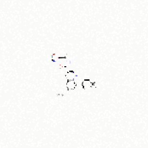 COc1cc(C2=CCC(C)(C)CC2)c2ncc(C(=O)NC(C)c3ncco3)cc2c1